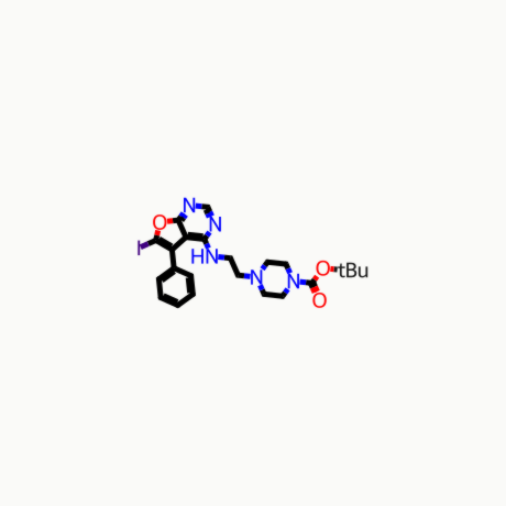 CC(C)(C)OC(=O)N1CCN(CCNc2ncnc3oc(I)c(-c4ccccc4)c23)CC1